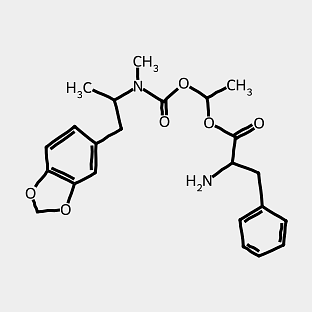 CC(OC(=O)C(N)Cc1ccccc1)OC(=O)N(C)C(C)Cc1ccc2c(c1)OCO2